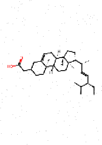 CC[C@H](C=C[C@@H](C)[C@H]1CC[C@H]2[C@@H]3CC=C4C[C@H](CC(=O)O)CC[C@]4(C)[C@H]3CC[C@]12C)C(C)C